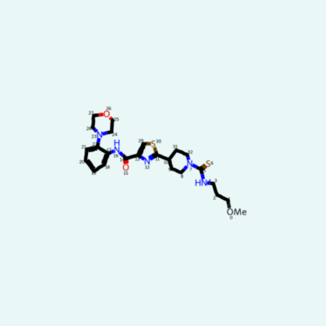 COCCCNC(=S)N1CCC(c2nc(C(=O)Nc3ccccc3N3CCOCC3)cs2)CC1